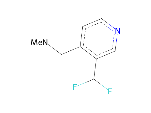 CNCc1ccncc1C(F)F